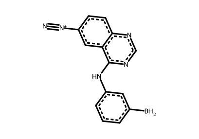 Bc1cccc(Nc2ncnc3ccc([N+]#N)cc23)c1